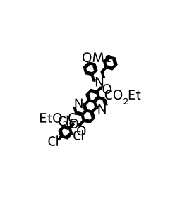 CCOC(=O)c1cnc2c3ccc(C(=O)N(CCc4ccccc4)Cc4ccc(OC)cc4)c4c(C(=O)OCC)cnc(c5ccc(C(=O)Oc6c(Cl)cc(Cl)cc6Cl)c1c52)c43